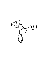 O=C(O)C(I)C(Cc1ccccc1)C(=O)O